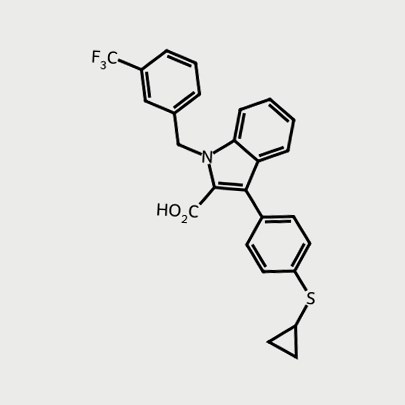 O=C(O)c1c(-c2ccc(SC3CC3)cc2)c2ccccc2n1Cc1cccc(C(F)(F)F)c1